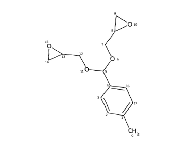 Cc1ccc(C(OCC2CO2)OCC2CO2)cc1